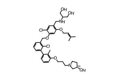 CC(C)=CCOc1cc(OCc2cccc(-c3cccc(OCCCN4CC[C@@H](O)C4)c3C)c2Cl)c(Cl)cc1CNC(CO)CO